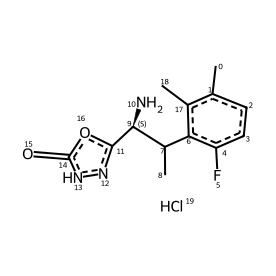 Cc1ccc(F)c(C(C)[C@H](N)c2n[nH]c(=O)o2)c1C.Cl